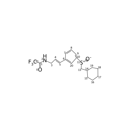 O=C(NCC=Cc1cccc([S+]([O-])CC2CCCCC2)c1)C(F)(F)F